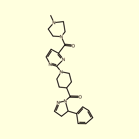 CN1CCN(C(=O)c2ccnc(N3CCC(C(=O)N4N=CCC4c4ccccc4)CC3)n2)CC1